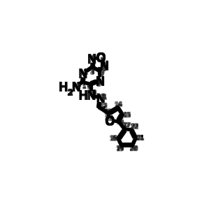 Nc1nc2nonc2nc1NN=Cc1ccc(-c2ccccc2)o1